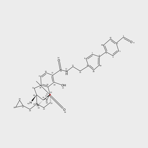 O=Cc1ccc(-c2ccc(CCNC(=O)c3ccc4c(c3O)[C@]35CCN(CC6CC6)[C@H](C4)[C@@H]3CCC(=O)C5)cc2)cc1